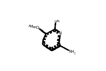 CCCc1nc(N)ccc1OC